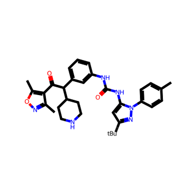 Cc1ccc(-n2nc(C(C)(C)C)cc2NC(=O)Nc2cccc(C(C(=O)c3c(C)noc3C)C3CCNCC3)c2)cc1